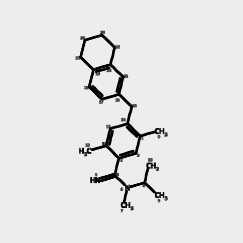 Cc1cc(C(=N)N(C)C(C)C)c(C)cc1Cc1ccc2c(c1)CCCC2